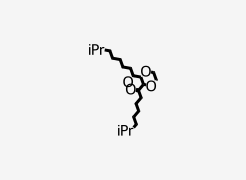 CC(C)CCCCCC(=O)C1OCCOC1C(=O)CCCCCC(C)C